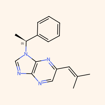 CC(C)=Cc1cnc2ncn([C@@H](C)c3ccccc3)c2n1